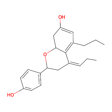 CC/C=C1/CC(c2ccc(O)cc2)OC2CC(O)=CC(CCC)=C12